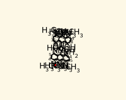 CN(C)c1ccc(N)c2c(C3C(O)C(c4c5c(O)ccc(N(C)C)c5c(N(C)C)c5c(N(C)C)ccc(O)c45)C3O)c3c(N)ccc(N(C)C)c3c(N(C)C)c12